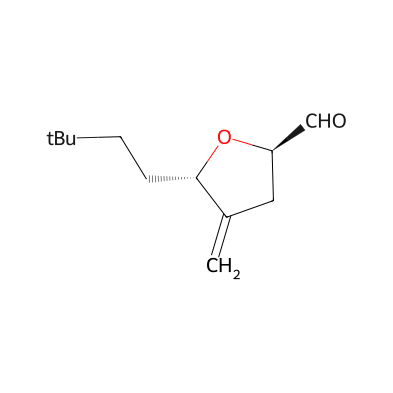 C=C1C[C@H](C=O)O[C@H]1CCC(C)(C)C